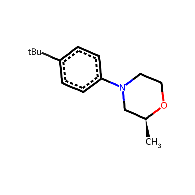 C[C@H]1CN(c2ccc(C(C)(C)C)cc2)CCO1